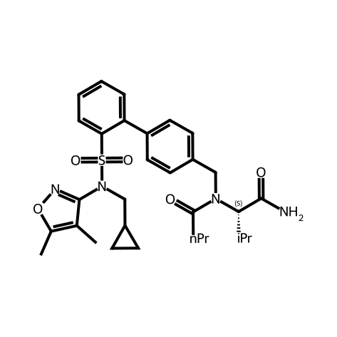 CCCC(=O)N(Cc1ccc(-c2ccccc2S(=O)(=O)N(CC2CC2)c2noc(C)c2C)cc1)[C@H](C(N)=O)C(C)C